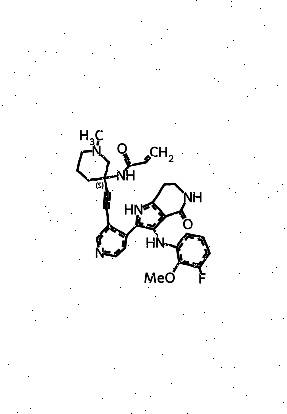 C=CC(=O)N[C@]1(C#Cc2cnccc2-c2[nH]c3c(c2Nc2cccc(F)c2OC)C(=O)NCC3)CCCN(C)C1